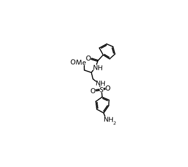 COCC(CNS(=O)(=O)c1ccc(N)cc1)NC(=O)c1ccccc1